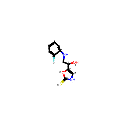 OC(CNc1ccccc1F)c1c[nH]c(=S)o1